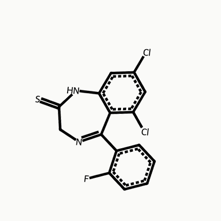 Fc1ccccc1C1=NCC(=S)Nc2cc(Cl)cc(Cl)c21